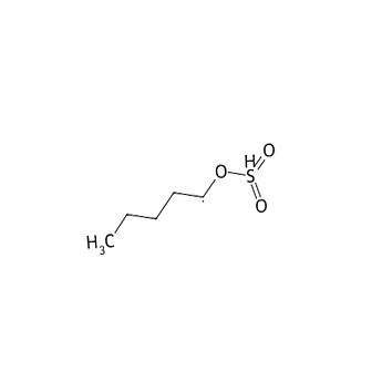 CCCC[CH]O[SH](=O)=O